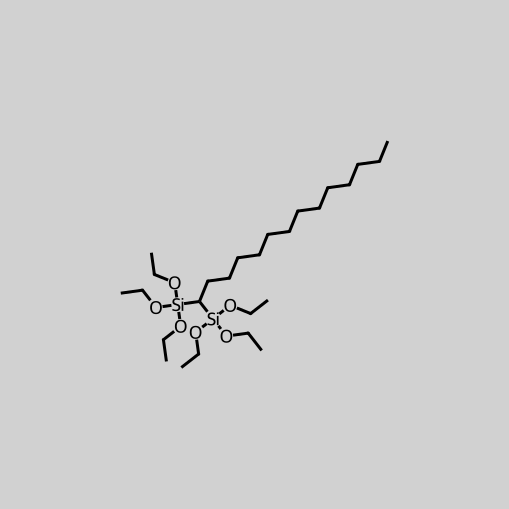 CCCCCCCCCCCCCC([Si](OCC)(OCC)OCC)[Si](OCC)(OCC)OCC